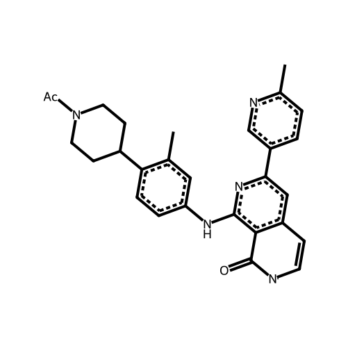 CC(=O)N1CCC(c2ccc(Nc3nc(-c4ccc(C)nc4)cc4c3C(=O)[N]C=C4)cc2C)CC1